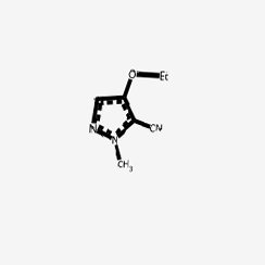 CCOc1[c]nn(C)c1C#N